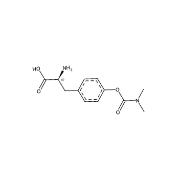 CN(C)C(=O)Oc1ccc(C[C@H](N)C(=O)O)cc1